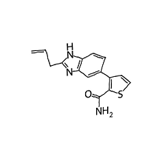 C=CCc1nc2cc(-c3ccsc3C(N)=O)ccc2[nH]1